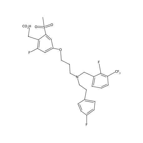 CS(=O)(=O)c1cc(OCCCN(CCc2ccc(F)cc2)Cc2cccc(C(F)(F)F)c2F)cc(F)c1CC(=O)O